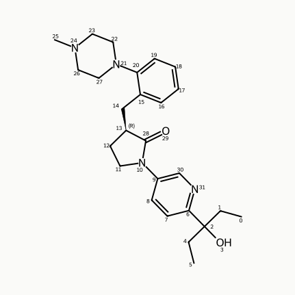 CCC(O)(CC)c1ccc(N2CC[C@@H](Cc3ccccc3N3CCN(C)CC3)C2=O)cn1